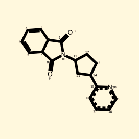 O=C1C2C=CC=CC2C(=O)N1C1CCC(c2ccccn2)C1